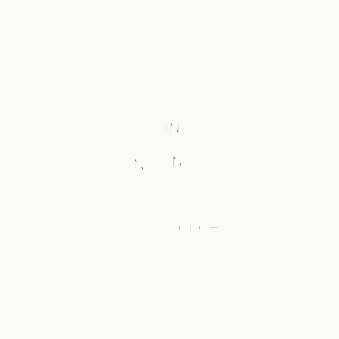 O=C(O)c1ccc2nc(-c3ccccc3)c(NC3CCCCC3)nc2c1